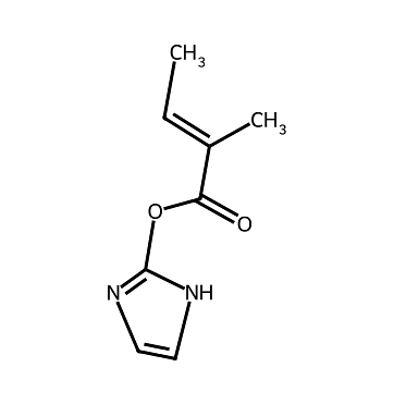 CC=C(C)C(=O)Oc1ncc[nH]1